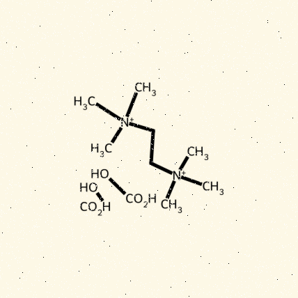 C[N+](C)(C)CC[N+](C)(C)C.O=C(O)O.O=C(O)O